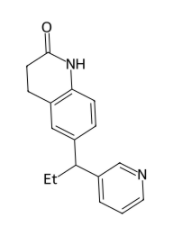 CCC(c1cccnc1)c1ccc2c(c1)CCC(=O)N2